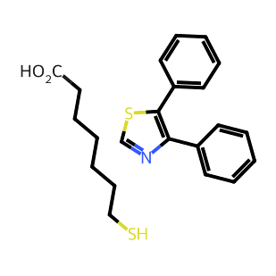 O=C(O)CCCCCCS.c1ccc(-c2ncsc2-c2ccccc2)cc1